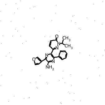 CC(C)n1nc(-c2nc(-c3ccoc3)c(N)nc2-c2ccccc2)ccc1=O